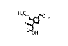 C=Cc1ccc(C(C#N)=CC(=O)O)c(CCCC)c1